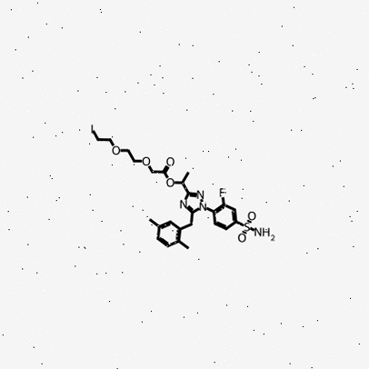 Cc1ccc(C)c(Cc2nc(C(C)OC(=O)COCCOCCI)nn2-c2ccc(S(N)(=O)=O)cc2F)c1